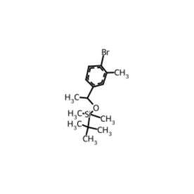 Cc1cc(C(C)O[Si](C)(C)C(C)(C)C)ccc1Br